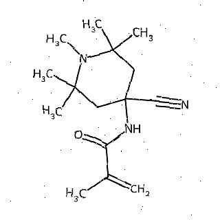 C=C(C)C(=O)NC1(C#N)CC(C)(C)N(C)C(C)(C)C1